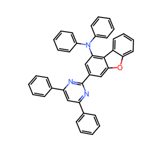 c1ccc(-c2cc(-c3ccccc3)nc(-c3cc(N(c4ccccc4)c4ccccc4)c4c(c3)oc3ccccc34)n2)cc1